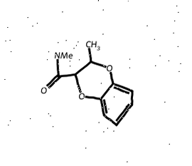 CNC(=O)C1Oc2ccccc2OC1C